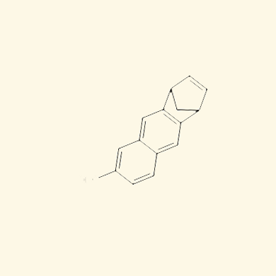 O=Cc1ccc2cc3c(cc2c1)C1C=CC3C1